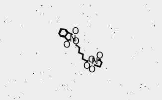 O=C(CCCCCON1C(=O)c2ccccc2C1=O)ON1C(=O)CCC1=O